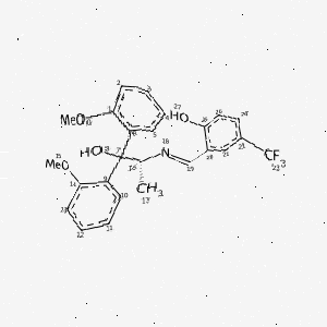 COc1ccccc1C(O)(c1ccccc1OC)[C@@H](C)N=Cc1cc(C(F)(F)F)ccc1O